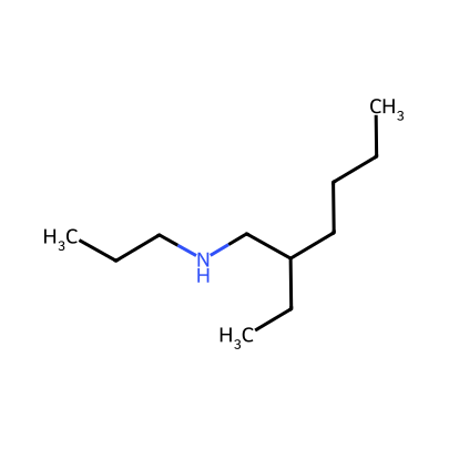 CCCCC(CC)CNCCC